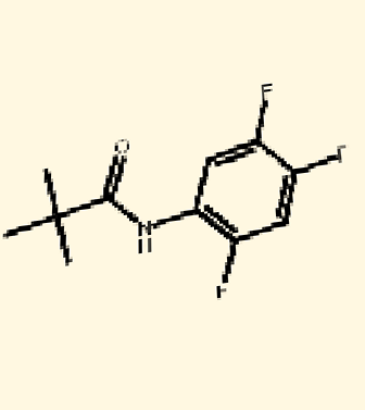 CC(C)(C)C(=O)Nc1cc(F)c(F)cc1F